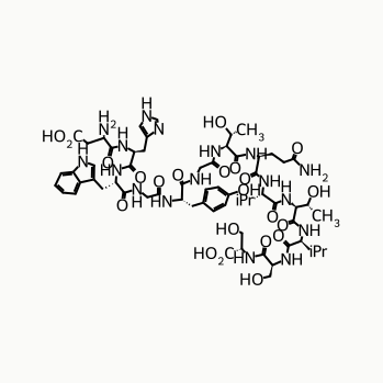 CC(C)[C@H](NC(=O)[C@H](CCC(N)=O)NC(=O)[C@@H](NC(=O)CNC(=O)[C@H](Cc1ccc(O)cc1)NC(=O)CNC(=O)[C@H](Cc1c[nH]c2ccccc12)NC(=O)[C@H](Cc1c[nH]cn1)NC(=O)[C@@H](N)CC(=O)O)[C@@H](C)O)C(=O)N[C@H](C(=O)N[C@H](C(=O)N[C@@H](CO)C(=O)N[C@@H](CO)C(=O)O)C(C)C)[C@@H](C)O